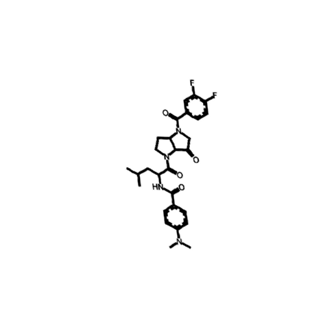 CC(C)CC(NC(=O)c1ccc(N(C)C)cc1)C(=O)N1CCC2C1C(=O)CN2C(=O)c1ccc(F)c(F)c1